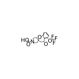 O=C1CC2(CCN(C(=O)O)CC2)Oc2cccc(OC(F)(F)F)c21